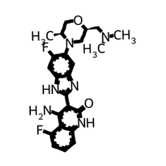 C[C@H]1CO[C@@H](CN(C)C)CN1c1cc2nc(-c3c(N)c4c(F)cccc4[nH]c3=O)[nH]c2cc1F